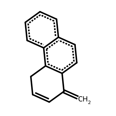 C=C1C=CCc2c1ccc1ccccc21